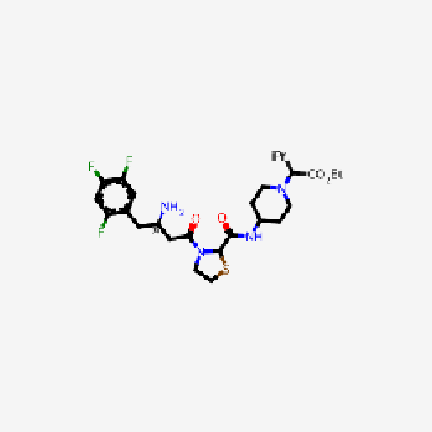 CCOC(=O)C(C(C)C)N1CCC(NC(=O)C2SCCN2C(=O)C[C@H](N)Cc2cc(F)c(F)cc2F)CC1